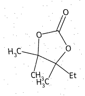 CCC1(C)OC(=O)OC1(C)C